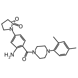 Cc1ccc(N2CCN(C(=O)c3ccc(N4CCCS4(=O)=O)cc3N)CC2)c(C)c1